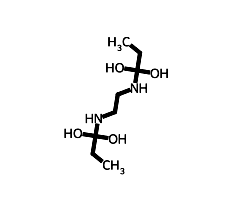 CCC(O)(O)NCCNC(O)(O)CC